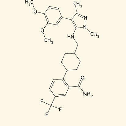 COc1ccc(-c2c(C)nn(C)c2NCC2CCC(c3ccc(C(F)(F)F)cc3C(N)=O)CC2)cc1OC